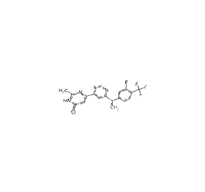 Cc1nc(-c2cc([C@H](C)c3ccc(C(F)(F)F)c(F)c3)ncn2)cc(=O)[nH]1